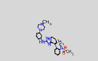 CN1CCN(c2cccc(Nc3nc4c(-c5ccccc5N(C)S(C)(=O)=O)cccn4n3)c2)CC1